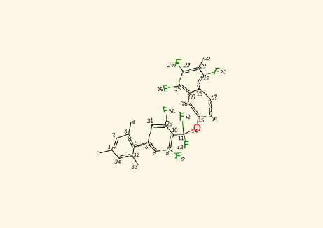 Cc1cc(C)c(-c2cc(F)c(C(F)(F)Oc3ccc4c(F)c(C)c(F)c(F)c4c3)c(F)c2)c(C)c1